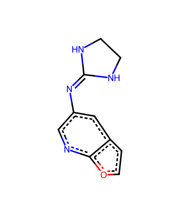 c1cc2cc(N=C3NCCN3)cnc2o1